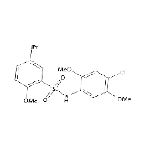 COc1cc(NS(=O)(=O)c2cc(C(C)C)ccc2OC)c(OC)cc1Cl